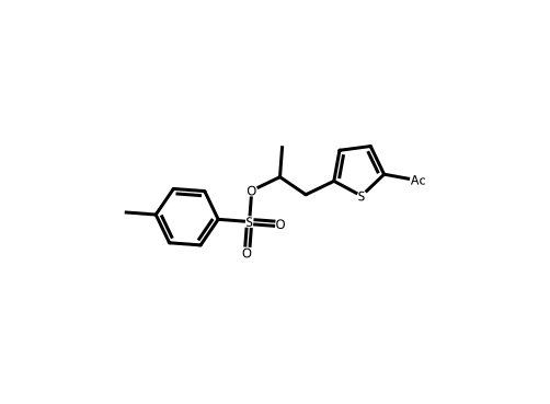 CC(=O)c1ccc(CC(C)OS(=O)(=O)c2ccc(C)cc2)s1